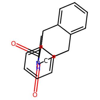 O=C1CC2C3c4ccccc4C(c4ccccc43)C2C(=O)N1